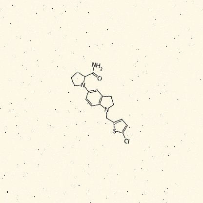 NC(=O)C1CCCN1c1ccc2c(c1)CCN2Cc1ccc(Cl)s1